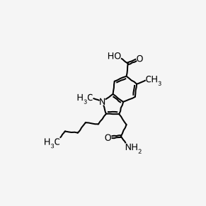 CCCCCc1c(CC(N)=O)c2cc(C)c(C(=O)O)cc2n1C